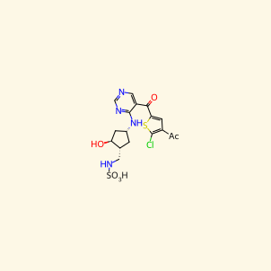 CC(=O)c1cc(C(=O)c2cncnc2N[C@@H]2C[C@H](CNS(=O)(=O)O)[C@@H](O)C2)sc1Cl